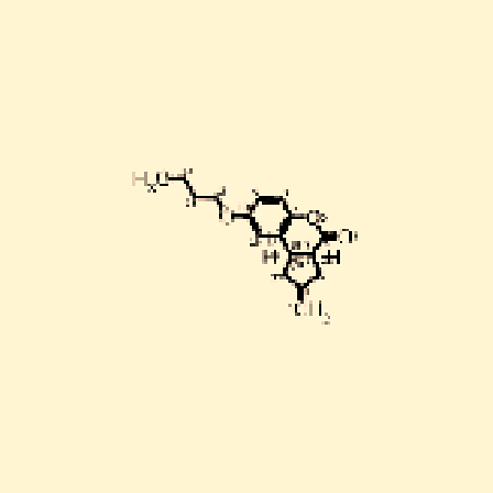 C=C1C[C@@H]2C(=O)Oc3ccc(OCCCC)cc3[C@@H]2C1